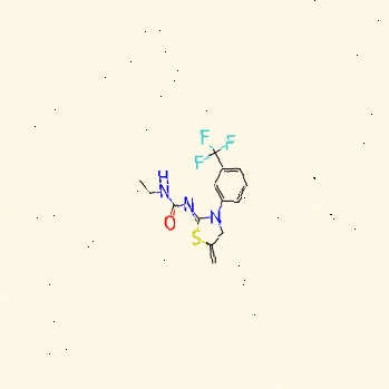 C=C1CN(c2cccc(C(F)(F)F)c2)C(=NC(=O)NCC)S1